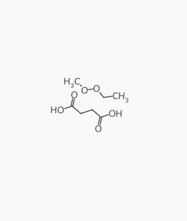 CCOOC.O=C(O)CCC(=O)O